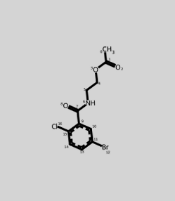 CC(=O)OCCNC(=O)c1cc(Br)ccc1Cl